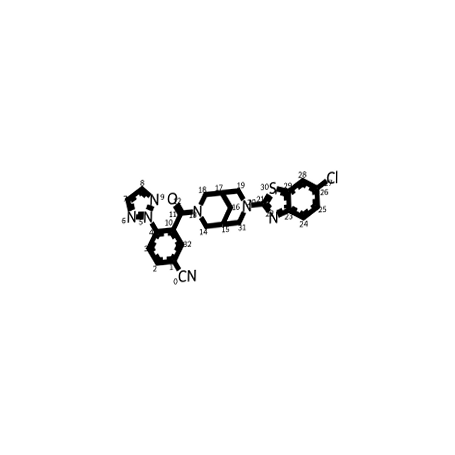 N#Cc1ccc(-n2nccn2)c(C(=O)N2CC3CC(C2)CN(c2nc4ccc(Cl)cc4s2)C3)c1